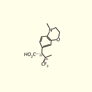 C[C@H]([C@H](C(=O)O)c1ccc2c(c1)OCCN2C)C(F)(F)F